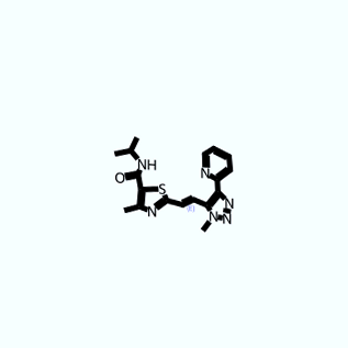 Cc1nc(/C=C/c2c(-c3ccccn3)nnn2C)sc1C(=O)NC(C)C